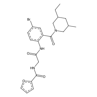 CCC1CC(C)CN(C(=O)c2cc(Br)ccc2NC(=O)CNC(=O)c2ccco2)C1